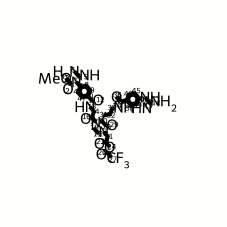 COC(=O)N(C(=N)N)c1ccc(C(=O)NCC(=O)N2CCN(CC(=O)OC(=O)C(F)(F)F)C(=O)[C@@H]2CCCNC(=O)c2ccc(NC(=N)N)cc2)cc1